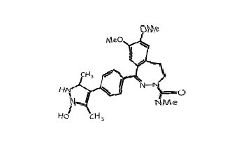 CNC(=O)N1CCc2cc(OC)c(OC)cc2C(c2ccc(C3=C(C)N(O)NC3C)cc2)=N1